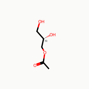 CC(=O)OC[C@@H](O)CO